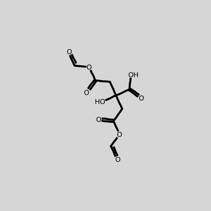 O=COC(=O)CC(O)(CC(=O)OC=O)C(=O)O